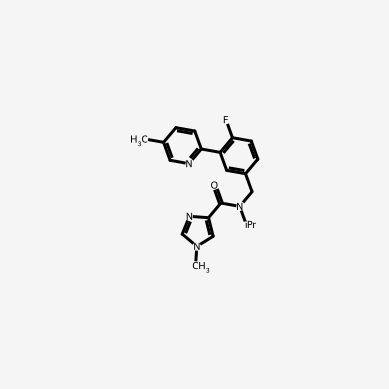 Cc1ccc(-c2cc(CN(C(=O)c3cn(C)cn3)C(C)C)ccc2F)nc1